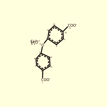 O.O=C([O-])c1ccc(Oc2ccc(C(=O)[O-])cc2)cc1.[Ca+2]